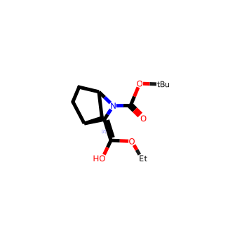 CCO/C(O)=C1/C2CCC(C2)N1C(=O)OC(C)(C)C